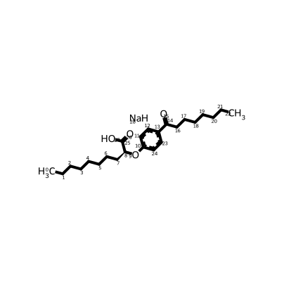 CCCCCCCC[C@H](Oc1ccc(C(=O)CCCCCCC)cc1)C(=O)O.[NaH]